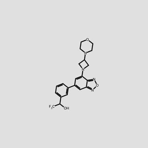 OC(c1cccc(-c2cc(N3CC(N4CCOCC4)C3)c3nonc3c2)c1)C(F)(F)F